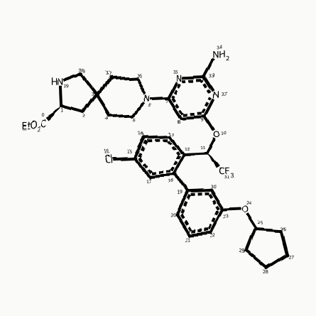 CCOC(=O)[C@@H]1CC2(CCN(c3cc(O[C@H](c4ccc(Cl)cc4-c4cccc(OC5CCCC5)c4)C(F)(F)F)nc(N)n3)CC2)CN1